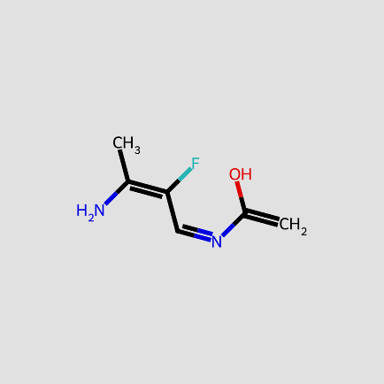 C=C(O)/N=C\C(F)=C(\C)N